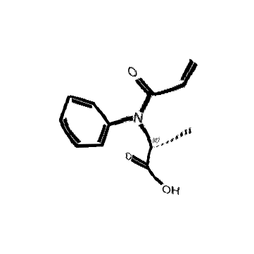 C=CC(=O)N(c1ccccc1)[C@H](C)C(=O)O